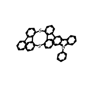 c1ccc(-c2cccc3c2-c2ccccc2Sc2ccccc2-c2c(cccc2-c2ccc4c(c2)c2ccccc2n4-c2ccccc2)S3)cc1